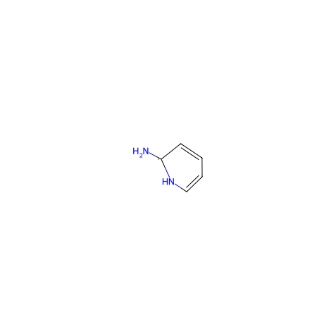 N[C]1C=CC=CN1